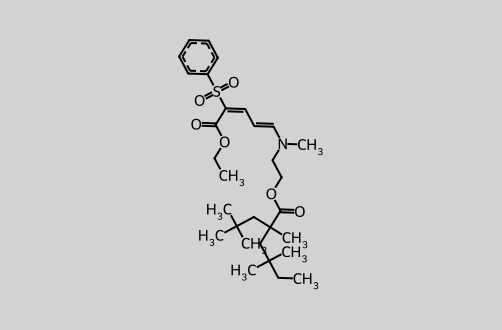 CCOC(=O)C(=CC=CN(C)CCOC(=O)C(C)(CC(C)(C)C)CC(C)(C)CC)S(=O)(=O)c1ccccc1